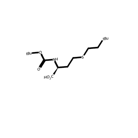 CC(C)(C)CCSCC[C@H](NC(=O)OC(C)(C)C)C(=O)O